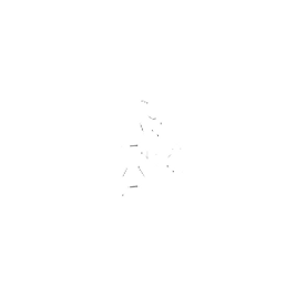 COC(=O)c1cc2n(n1)CC(C)(C(=O)NC1CCCC1)N(c1ccc(Cl)cc1C)C2=O